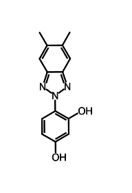 Cc1cc2nn(-c3ccc(O)cc3O)nc2cc1C